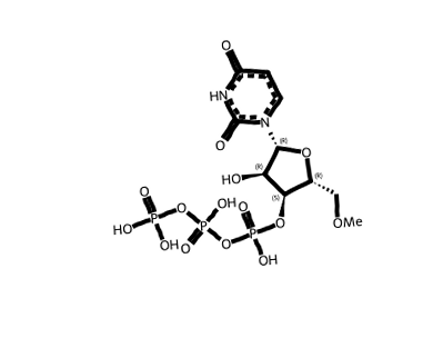 COC[C@H]1O[C@@H](n2ccc(=O)[nH]c2=O)[C@H](O)[C@@H]1OP(=O)(O)OP(=O)(O)OP(=O)(O)O